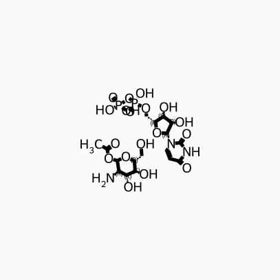 CC(=O)OC1O[C@H](CO)[C@@H](O)[C@H](O)[C@H]1N.O=c1ccn([C@@H]2O[C@H](COP(=O)(O)OP(=O)(O)O)[C@@H](O)[C@H]2O)c(=O)[nH]1